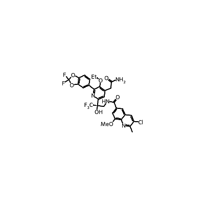 CCOc1c(CC(N)=O)cc([C@@](O)(CNC(=O)c2cc(OC)c3nc(C)c(Cl)cc3c2)C(F)(F)F)nc1-c1ccc2c(c1)OC(F)(F)O2